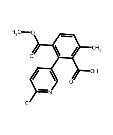 COC(=O)c1ccc(C)c(C(=O)O)c1-c1ccc(Cl)nc1